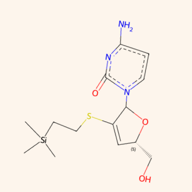 C[Si](C)(C)CCSC1=C[C@@H](CO)OC1n1ccc(N)nc1=O